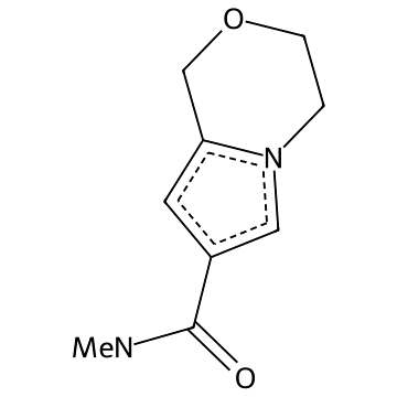 CNC(=O)c1cc2n(c1)CCOC2